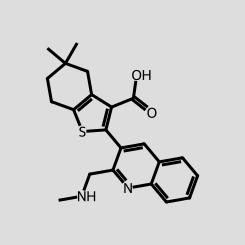 CNCc1nc2ccccc2cc1-c1sc2c(c1C(=O)O)CC(C)(C)CC2